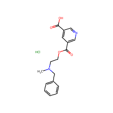 CN(CCOC(=O)c1cncc(C(=O)O)c1)Cc1ccccc1.Cl